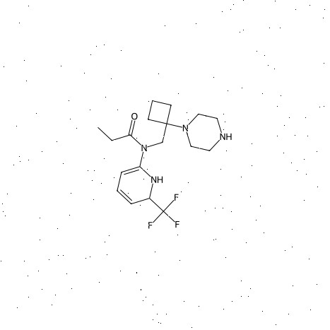 CCC(=O)N(CC1(N2CCNCC2)CCC1)C1=CC=CC(C(F)(F)F)N1